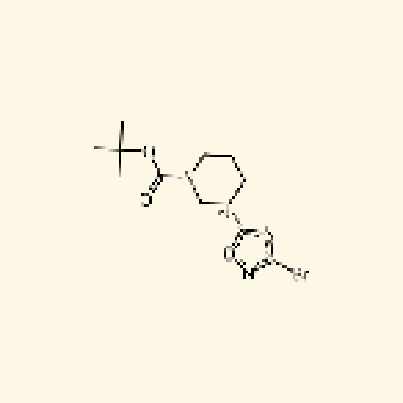 CC(C)(C)OC(=O)N1CCC[C@H](c2nc(Br)no2)C1